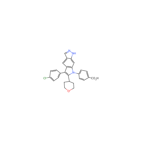 O=C(O)c1ccc(-n2c(C3CCOCC3)c(-c3ccc(Cl)cc3)c3cc4cn[nH]c4cc32)cc1